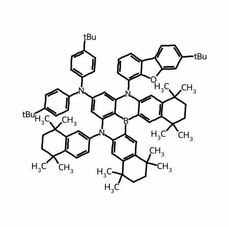 CC(C)(C)c1ccc(N(c2ccc(C(C)(C)C)cc2)c2cc3c4c(c2)N(c2cccc5c2oc2cc(C(C)(C)C)ccc25)c2cc5c(cc2B4c2cc4c(cc2N3c2ccc3c(c2)C(C)(C)CCC3(C)C)C(C)(C)CCC4(C)C)C(C)(C)CCC5(C)C)cc1